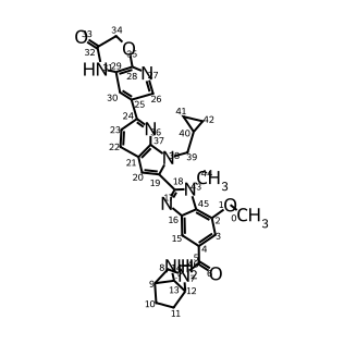 COc1cc(C(=O)N2CC3CCC2[C@@H]3N)cc2nc(-c3cc4ccc(-c5cnc6c(c5)NC(=O)CO6)nc4n3CC3CC3)n(C)c12